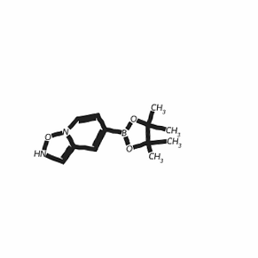 CC1(C)OB(C2=CC3=CNON3C=C2)OC1(C)C